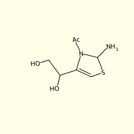 CC(=O)N1C(C(O)CO)=CSC1N